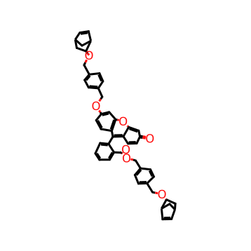 O=C(OCc1ccc(COC2CC3C=CC2C3)cc1)c1ccccc1-c1c2ccc(=O)cc-2oc2cc(OCc3ccc(COC4CC5C=CC4C5)cc3)ccc12